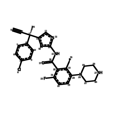 C#C[C@](C)(c1ccc(Cl)cc1)c1csc(NC(=O)c2c(F)ccc(N3CCNCC3)c2F)n1